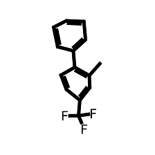 Cc1cc(C(F)(F)F)ccc1-c1ccccc1